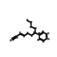 CCCCC(CCC=CC#N)c1ccccc1